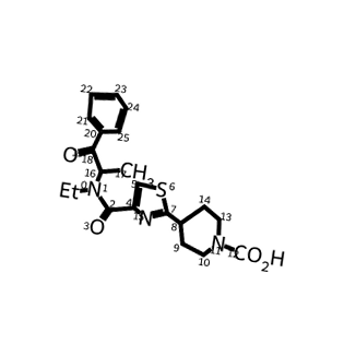 CCN(C(=O)c1csc(C2CCN(C(=O)O)CC2)n1)C(C)C(=O)c1ccccc1